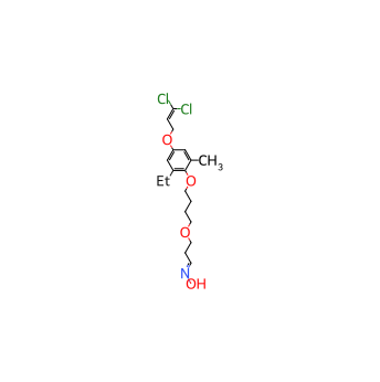 CCc1cc(OCC=C(Cl)Cl)cc(C)c1OCCCCOCCC=NO